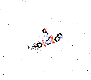 CC(C)(C)c1ccc(S(=O)(=O)N2CCN(S(=O)(=O)c3ccc4ncccc4c3)C(C(=O)NCc3ccco3)C2)cc1